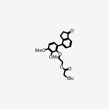 COc1ccc(-c2cccc3c2CCC3=O)c(OCCOC(=O)CC(C)(C)C)c1OC